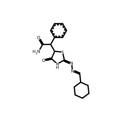 NC(=O)C(c1ccccc1)C1S/C(=N/N=C/C2CCCCC2)NC1=O